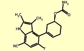 Cc1[nH]c2c(C#N)cc(F)c(C3=CCC[C@H](OC(N)=O)C3)c2c1C